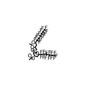 CC(=O)OC(CCC(F)(F)C(F)(F)C(F)(F)C(F)(F)C(F)(F)C(F)(F)F)CS(=O)(=O)CC(CCC(F)(F)C(F)(F)C(F)(F)C(F)(F)C(F)(F)C(F)(F)F)OC(C)=O